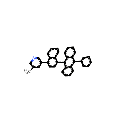 Cc1cncc(-c2ccc(-c3c4ccccc4c(-c4ccccc4)c4ccccc34)c3ccccc23)c1